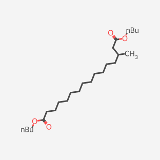 CCCCOC(=O)CCCCCCCCCCCCC(C)CC(=O)OCCCC